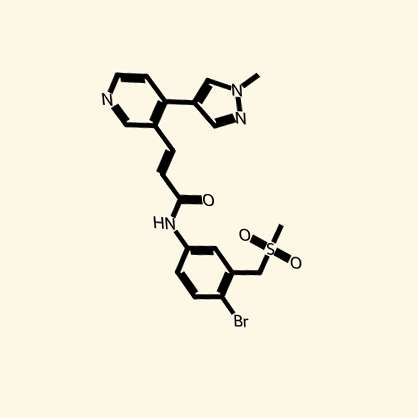 Cn1cc(-c2ccncc2C=CC(=O)Nc2ccc(Br)c(CS(C)(=O)=O)c2)cn1